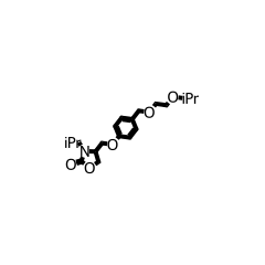 CC(C)OCCOCc1ccc(OCC2COC(=O)N2C(C)C)cc1